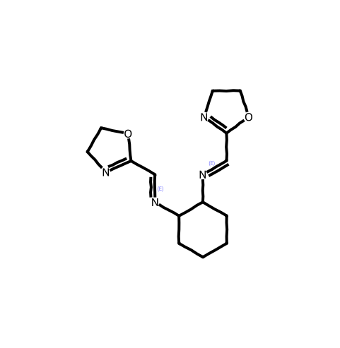 C(=N\C1CCCCC1/N=C/C1=NCCO1)/C1=NCCO1